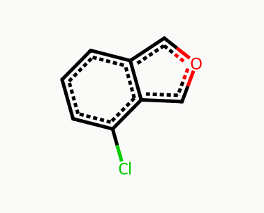 Clc1cccc2cocc12